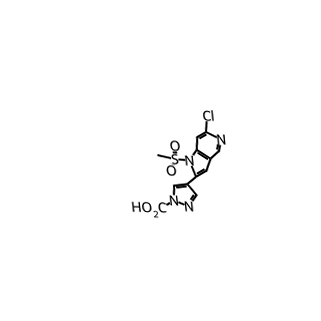 CS(=O)(=O)n1c(-c2cnn(C(=O)O)c2)cc2cnc(Cl)cc21